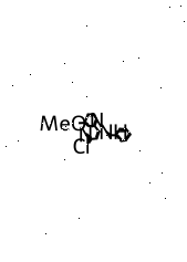 COc1ccnc2c(NCc3ccccc3)cc(Cl)nc12